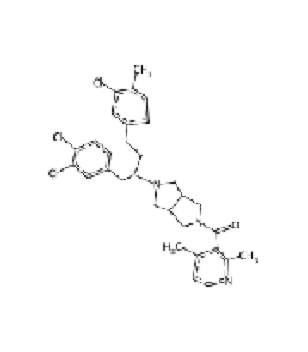 Cc1ccc(CCC(Cc2ccc(Cl)c(Cl)c2)N2CC3CN(C(=O)c4c(C)ccnc4C)CC3C2)cc1Cl